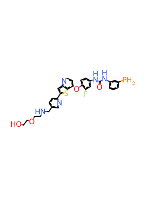 O=C(Nc1cccc(P)c1)Nc1ccc(Oc2ccnc3cc(-c4ccc(CNCCOCCO)cn4)sc23)c(F)c1